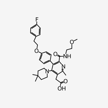 COCCNC(=O)c1nc(C)c(CC(=O)O)c(N2CCC(C)(C)CC2)c1-c1ccc(OCCc2ccc(F)cc2)cc1